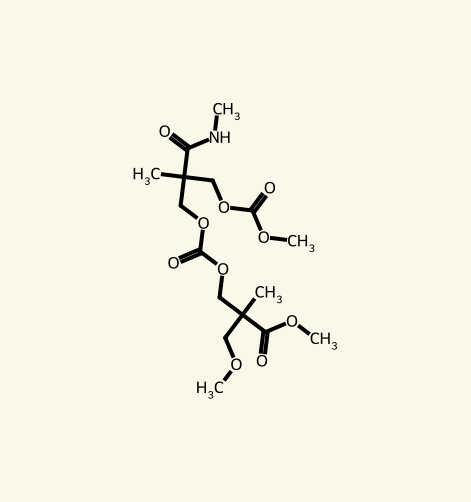 CNC(=O)C(C)(COC(=O)OC)COC(=O)OCC(C)(COC)C(=O)OC